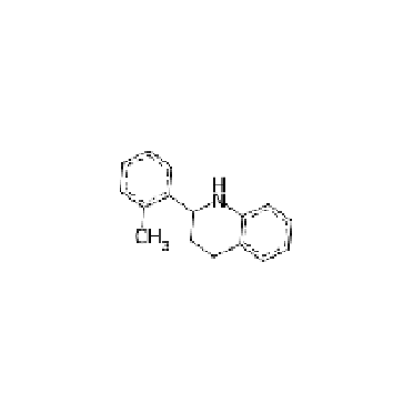 Cc1ccccc1C1CCc2ccccc2N1